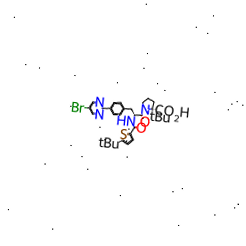 CC(C)(C)c1ccc(C(=O)N[C@@H](Cc2ccc(-c3ncc(Br)cn3)cc2)C(=O)N2CCC[C@@]2(C(=O)O)C(C)(C)C)s1